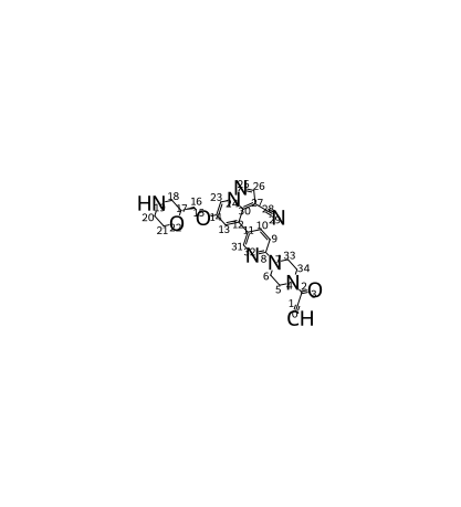 C#CC(=O)N1CCN(c2ccc(-c3cc(OC[C@@H]4CNCCO4)cn4ncc(C#N)c34)cn2)CC1